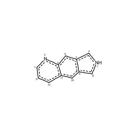 c1cnc2cc3c[nH]cc3cc2c1